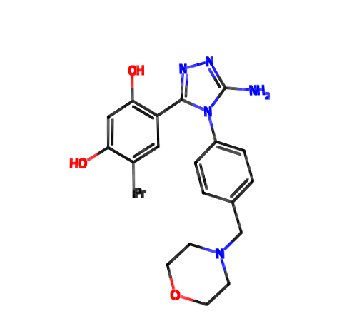 CC(C)c1cc(-c2nnc(N)n2-c2ccc(CN3CCOCC3)cc2)c(O)cc1O